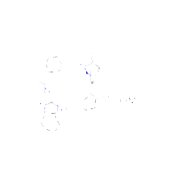 COCOc1ccc2cc1-c1ccc(=O)n(n1)Cc1cccc(c1)C(=O)Nc1nc3ccccc3n1C2